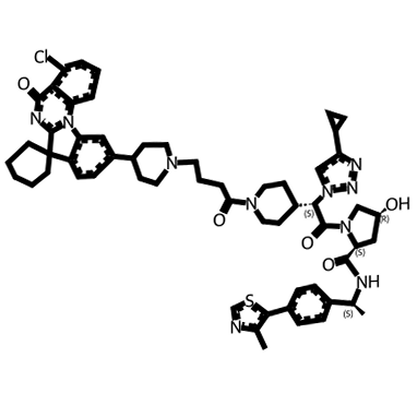 Cc1ncsc1-c1ccc([C@H](C)NC(=O)[C@@H]2C[C@@H](O)CN2C(=O)[C@H](C2CCN(C(=O)CCCN3CCC(c4ccc5c(c4)-n4c(nc(=O)c6c(Cl)cccc64)C54CCCCC4)CC3)CC2)n2cc(C3CC3)nn2)cc1